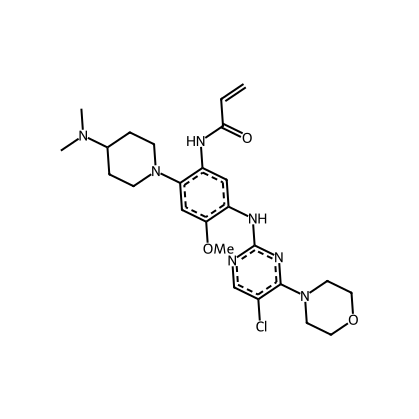 C=CC(=O)Nc1cc(Nc2ncc(Cl)c(N3CCOCC3)n2)c(OC)cc1N1CCC(N(C)C)CC1